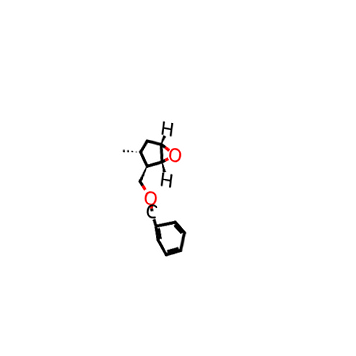 C[C@@H]1C[C@@H]2O[C@@H]2[C@H]1COCc1ccccc1